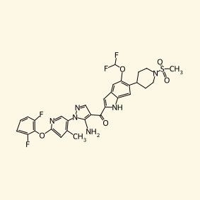 Cc1cc(Oc2c(F)cccc2F)ncc1-n1ncc(C(=O)c2cc3cc(OC(F)F)c(C4CCN(S(C)(=O)=O)CC4)cc3[nH]2)c1N